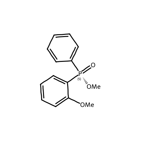 COc1ccccc1[P@@](=O)(OC)c1ccccc1